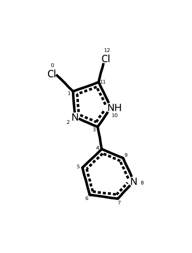 Clc1nc(-c2cccnc2)[nH]c1Cl